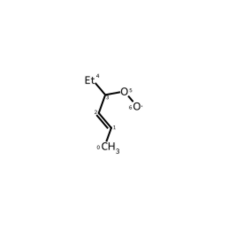 CC=CC(CC)O[O]